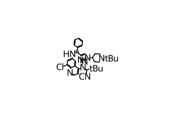 CC(Nc1c(C#N)cnc2c(Cl)cc(N[C@@H](c3ccccc3)c3cn(C4CCN(C(C)(C)C)CC4)nn3)cc12)C(C)(C)C